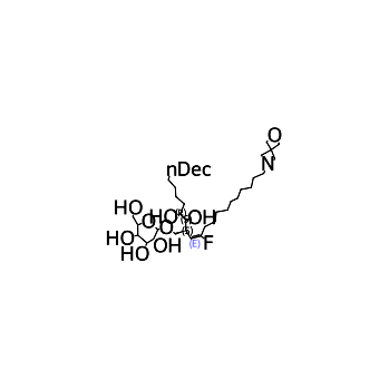 CCCCCCCCCCCCCC[C@@H](O)[C@@H](O)[C@@H](/C=C(/F)CCCCCCCCCCN1CC2(COC2)C1)COC1OC(CO)C(O)C(O)C1O